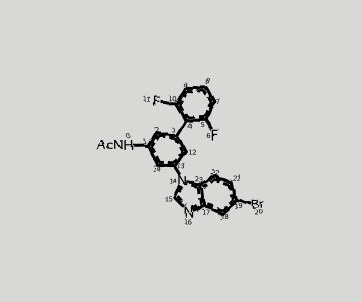 CC(=O)Nc1cc(-c2c(F)cccc2F)cc(-n2cnc3cc(Br)ccc32)c1